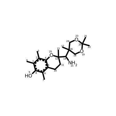 Cc1c(C)c2c(c(C)c1O)CCC(C)(C(N)C1(C)COC(C)(C)OC1)O2